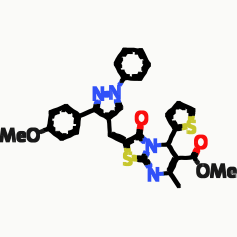 COC(=O)C1=C(C)N=c2s/c(=C/c3cn(-c4ccccc4)nc3-c3ccc(OC)cc3)c(=O)n2C1c1cccs1